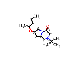 CCCC(C)OC1CC2CN(C(C)(C)C)CC(=O)N2C1